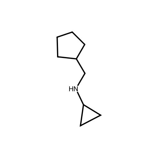 C1CCC(CNC2CC2)C1